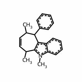 CC1C=CC(C)C(c2ccccc2)c2c1n(C)c1ccccc21